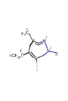 Cn1nc(C(F)(F)F)c(C(=O)O)c1F